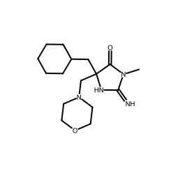 CN1C(=N)NC(CC2CCCCC2)(CN2CCOCC2)C1=O